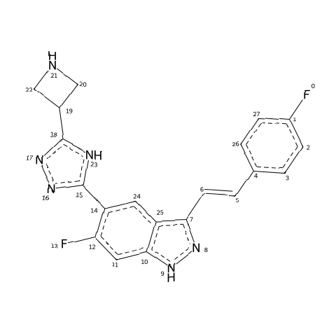 Fc1ccc(C=Cc2n[nH]c3cc(F)c(-c4nnc(C5CNC5)[nH]4)cc23)cc1